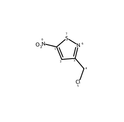 O=[N+]([O-])c1cc(CCl)ns1